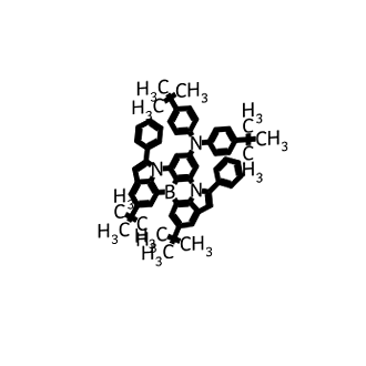 CC(C)(C)c1ccc(N(c2ccc(C(C)(C)C)cc2)c2cc3c4c(c2)-n2c(-c5ccccc5)cc5cc(C(C)(C)C)cc(c52)B4c2cc(C(C)(C)C)cc4cc(-c5ccccc5)n-3c24)cc1